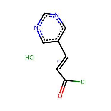 Cl.O=C(Cl)/C=C/c1cncnc1